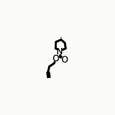 C#CCCOC(=O)N1CC[CH]CC1